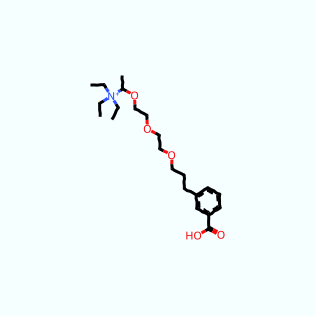 CC[N+](CC)(CC)C(C)OCCOCCOCCCc1cccc(C(=O)O)c1